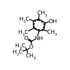 Cc1c(C)c(O)c(C)c(NC(=O)OC(C)(C)C)c1C